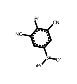 CC(C)c1c(C#N)cc([S+]([O-])C(C)C)cc1C#N